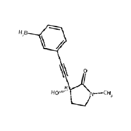 Bc1cccc(C#C[C@]2(O)CCN(C)C2=O)c1